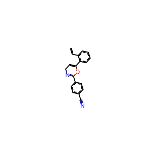 C=Cc1ccccc1C1=CCN=C(c2ccc(C#N)cc2)O1